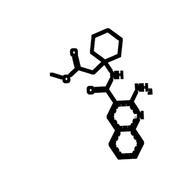 COC(=O)CC1(NC(=O)c2cc3ccccc3nc2N)CCCCC1